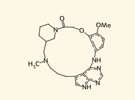 COc1ccc2cc1OCC(=O)N1CCCC(CN(C)CCCc3c[nH]c4ncnc(c34)N2)C1